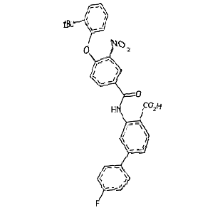 CC(C)(C)c1ccccc1Oc1ccc(C(=O)Nc2cc(-c3ccc(F)cc3)ccc2C(=O)O)cc1[N+](=O)[O-]